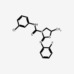 CC1CN(C(=S)Nc2cccc(Cl)c2)C(=Nc2ccccc2F)S1